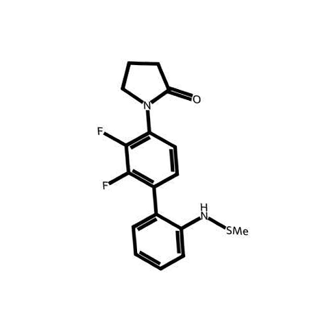 CSNc1ccccc1-c1ccc(N2CCCC2=O)c(F)c1F